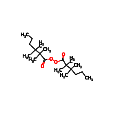 CCCC(C)(C)C(C)(C)C(=O)OOC(=O)C(C)(C)C(C)(C)CCC